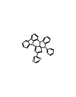 c1ccc(N2c3ccccc3B3c4c2cc(-c2cnccn2)cc4-n2c4ccccc4c4cccc3c42)cc1